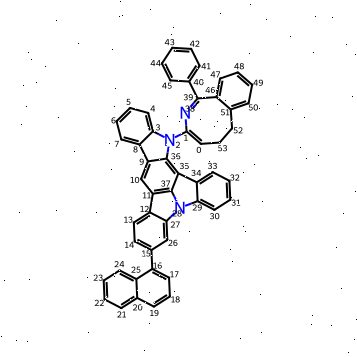 C1=C(n2c3ccccc3c3cc4c5ccc(-c6cccc7ccccc67)cc5n5c6ccccc6c(c32)c45)\N=C(\c2ccccc2)c2ccccc2CC/1